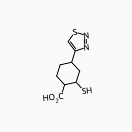 O=C(O)C1CCC(c2csnn2)CC1S